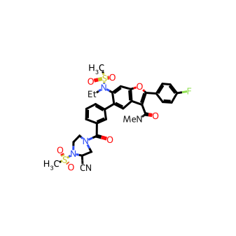 CCN(c1cc2oc(-c3ccc(F)cc3)c(C(=O)NC)c2cc1-c1cccc(C(=O)N2CCN(S(C)(=O)=O)C(C#N)C2)c1)S(C)(=O)=O